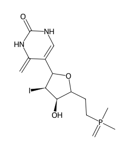 C=C1NC(=O)NC=C1C1OC(CCP(=C)(C)C)[C@@H](O)[C@H]1I